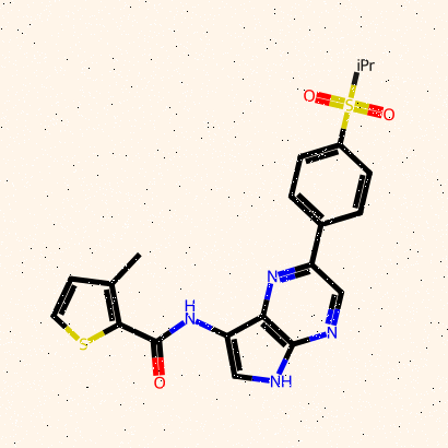 Cc1ccsc1C(=O)Nc1c[nH]c2ncc(-c3ccc(S(=O)(=O)C(C)C)cc3)nc12